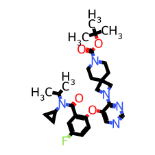 CC(C)N(C(=O)c1cc(F)ccc1Oc1cncnc1N1CC2(CCN(C(=O)OC(C)(C)C)CC2)C1)C1CC1